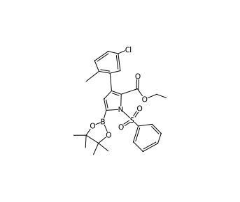 CCOC(=O)c1c(-c2cc(Cl)ccc2C)cc(B2OC(C)(C)C(C)(C)O2)n1S(=O)(=O)c1ccccc1